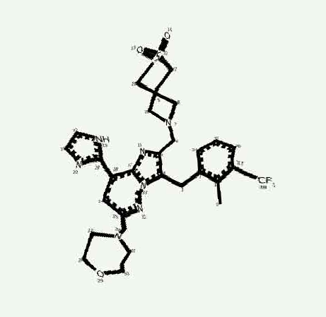 Cc1c(Cc2c(CN3CC4(C3)CS(=O)(=O)C4)nc3c(-c4ncc[nH]4)cc(N4CCOCC4)nn23)cccc1C(F)(F)F